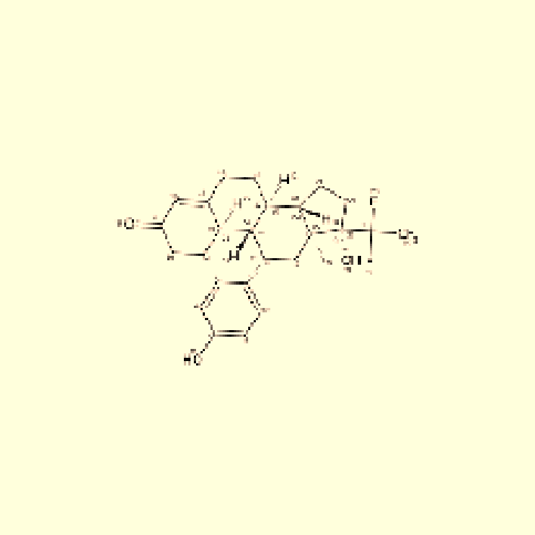 C[C@]12C[C@H](c3ccc(O)cc3)[C@H]3[C@@H](CCC4=CC(=O)CC[C@@H]43)[C@@H]1CC[C@@]2(O)C(F)(F)C(F)(F)F